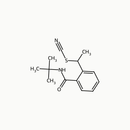 CC(SC#N)c1ccccc1C(=O)NC(C)(C)C